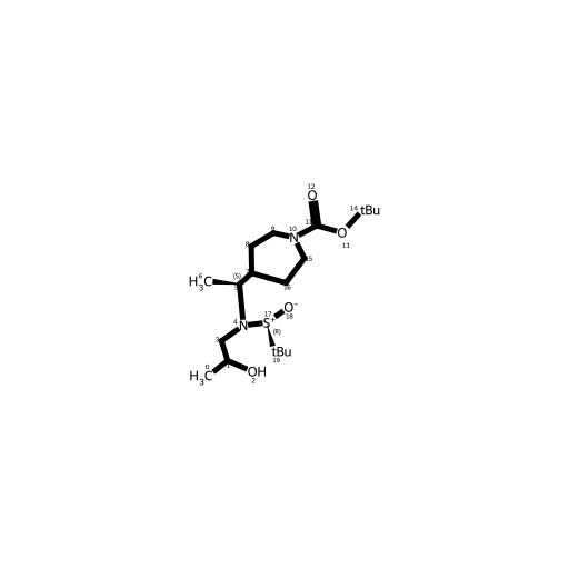 CC(O)CN([C@@H](C)C1CCN(C(=O)OC(C)(C)C)CC1)[S@@+]([O-])C(C)(C)C